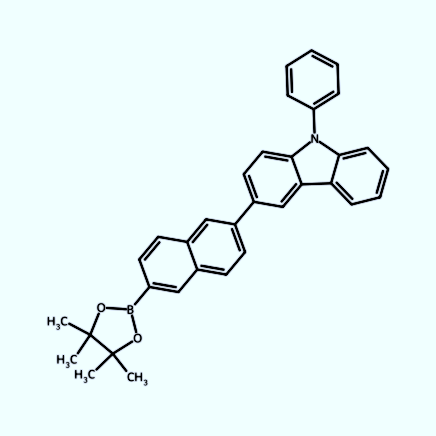 CC1(C)OB(c2ccc3cc(-c4ccc5c(c4)c4ccccc4n5-c4ccccc4)ccc3c2)OC1(C)C